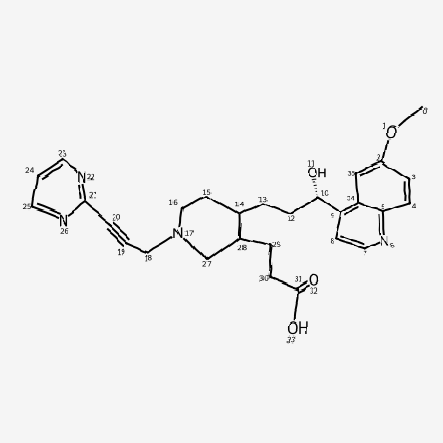 COc1ccc2nccc([C@@H](O)CCC3CCN(CC#Cc4ncccn4)CC3CCC(=O)O)c2c1